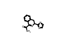 NC(=O)C1=NC(c2nccs2)Cc2ccccc21